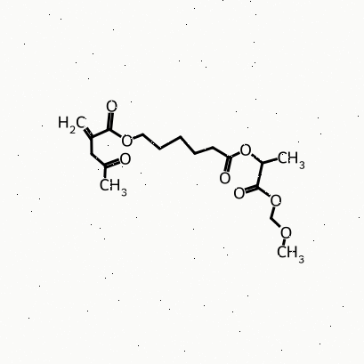 C=C(CC(C)=O)C(=O)OCCCCCC(=O)OC(C)C(=O)OCOC